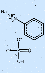 Nc1ccccc1.O=P([O-])([O-])O.[Na+].[Na+]